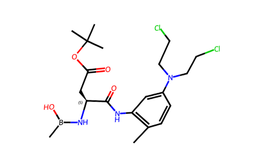 CB(O)N[C@@H](CC(=O)OC(C)(C)C)C(=O)Nc1cc(N(CCCl)CCCl)ccc1C